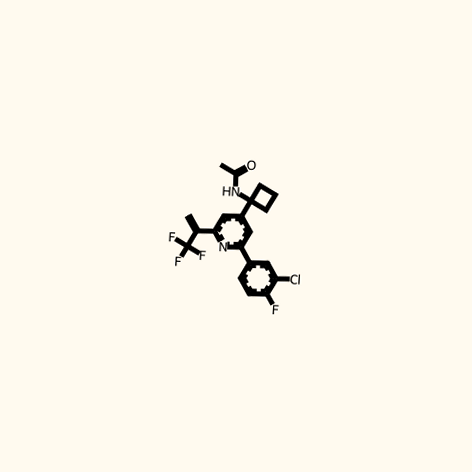 C=C(c1cc(C2(NC(C)=O)CCC2)cc(-c2ccc(F)c(Cl)c2)n1)C(F)(F)F